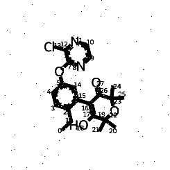 CCc1ccc(Oc2nccnc2Cl)cc1C1=C(O)C(C)(C)OC(C)(C)C1=O